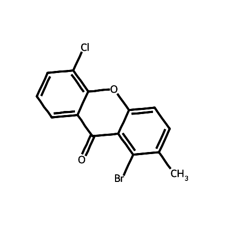 Cc1ccc2oc3c(Cl)cccc3c(=O)c2c1Br